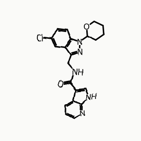 O=C(NCc1nn(C2CCCCO2)c2ccc(Cl)cc12)c1c[nH]c2ncccc12